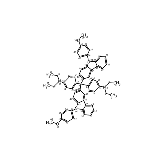 CCN(CC)c1ccc(C(c2ccc(N(CC)CC)cc2)(c2ccc3c(c2)c2ccccc2n3-c2ccc(OC)cc2)c2ccc3c(c2)c2ccccc2n3-c2ccc(OC)cc2)cc1